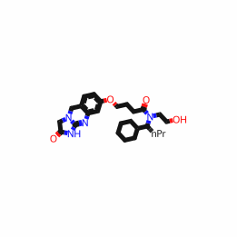 CCCC(C1CCCCC1)N(CCO)C(=O)CCCOc1ccc2c(c1)N=C1NC(=O)CN1C2